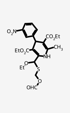 CCOC(=O)C1=C(C)NC(C(OCC)SCOC=O)=C(C(=O)OCC)C1c1cccc([N+](=O)[O-])c1